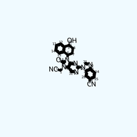 N#CCn1c(=O)n(C2CC[C@@H](O)c3ccccc32)c2nc(-n3cnc4ccc(C#N)cc43)ncc21